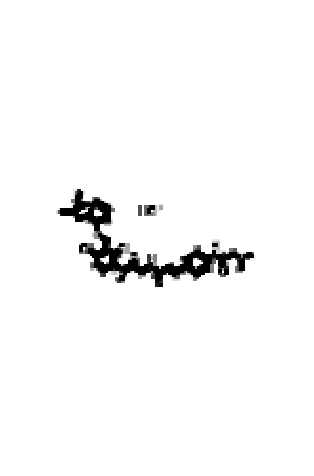 Cc1nc2c(OCc3c(Cl)ccc(N(C)C(=O)CNC(=O)C=Cc4ccc(NC(=O)CN(C)C)cc4)c3Cl)cccn2c1Br.Cl